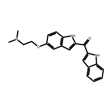 CN(C)CCOc1ccc2[nH]c(C(=O)c3cc4ccccc4[nH]3)cc2c1